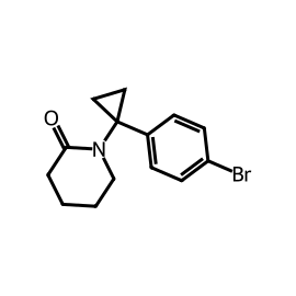 O=C1CCCCN1C1(c2ccc(Br)cc2)CC1